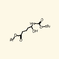 CC(C)OC(=O)CCCC(O)NC(=O)OC(C)(C)C